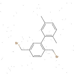 Cc1ccc(C)c(-c2cc(CBr)ccc2CBr)c1